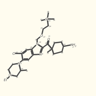 CCN1CCN(c2cc3nc(C(=O)C4(C)CCC(N)CC4)n(COCC[Si](C)(C)C)c3cc2Cl)C(C)C1